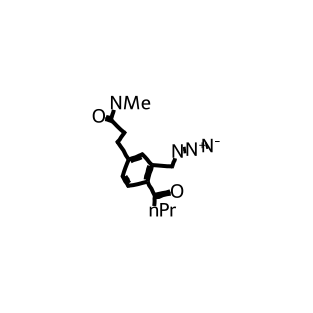 CCCC(=O)c1ccc(CCC(=O)NC)cc1CN=[N+]=[N-]